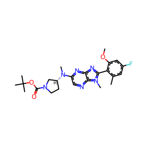 COc1cc(F)cc(C)c1-c1nc2nc(N(C)[C@@H]3CCN(C(=O)OC(C)(C)C)C3)cnc2n1C